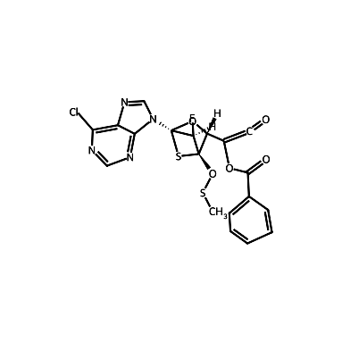 CSO[C@]12S[C@@](n3cnc4c(Cl)ncnc43)(O[C@@H]1C(=C=O)OC(=O)c1ccccc1)[C@H]2F